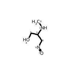 CNC(CO)CN=O